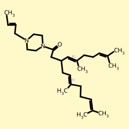 CC=CCN1CCN(C(=O)CC(/C=C(\C)CCC=C(C)C)C/C=C(\C)CCC=C(C)C)CC1